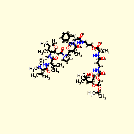 CC[C@H](C)[C@@H]([C@@H](CC(=O)N1CCC[C@H]1[C@H](OC)[C@@H](C)C(=O)N[C@H](Cc1ccccc1)C(=O)NCCCOC(=O)[C@H](C)NC(=O)CCNC(=O)OCC(OC(C)C)OC(CO)CC(C)(C)C)OC)N(C)C(=O)[C@@H](NC(=O)[C@H](C(C)C)N(C)C)C(C)C